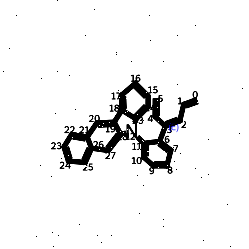 C=C/C=C(\C=C)c1ccccc1-n1c2ccccc2c2cc3ccccc3cc21